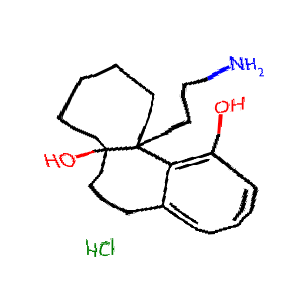 Cl.NCCC12CCCCC1(O)CCc1cccc(O)c12